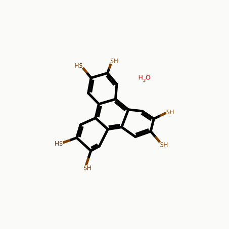 O.Sc1cc2c3cc(S)c(S)cc3c3cc(S)c(S)cc3c2cc1S